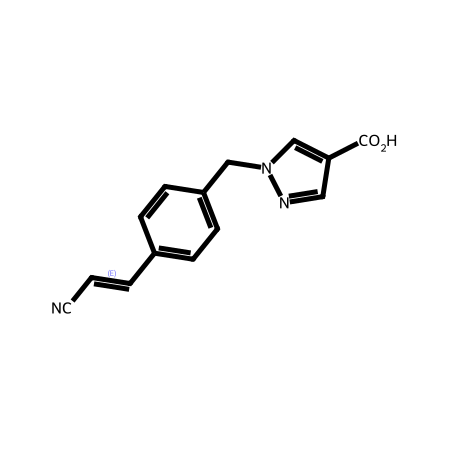 N#C/C=C/c1ccc(Cn2cc(C(=O)O)cn2)cc1